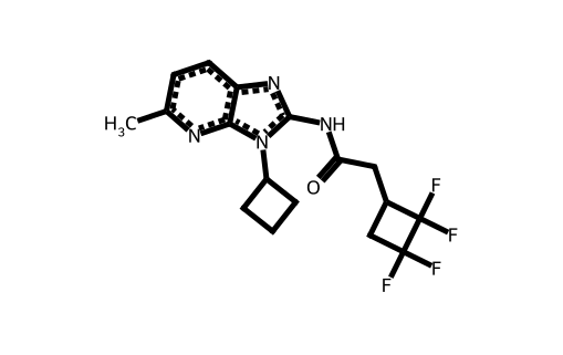 Cc1ccc2nc(NC(=O)CC3CC(F)(F)C3(F)F)n(C3CCC3)c2n1